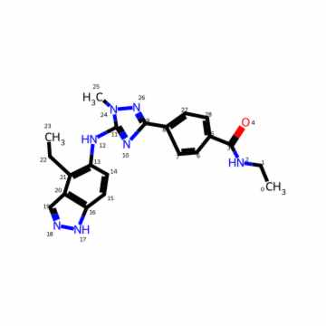 CCNC(=O)c1ccc(-c2nc(Nc3ccc4[nH]ncc4c3CC)n(C)n2)cc1